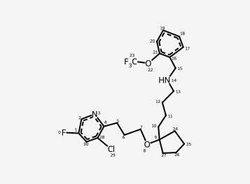 Fc1cnc(CCCOC2(CCCCNCc3ccccc3OC(F)(F)F)CCCC2)c(Cl)c1